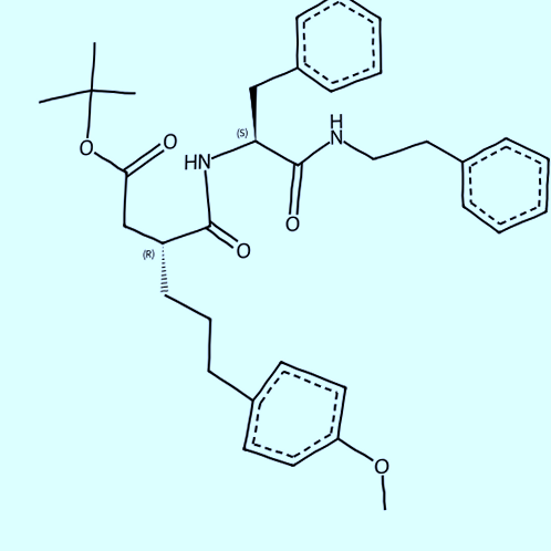 COc1ccc(CCC[C@H](CC(=O)OC(C)(C)C)C(=O)N[C@@H](Cc2ccccc2)C(=O)NCCc2ccccc2)cc1